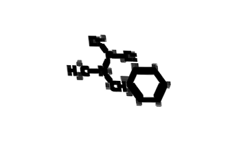 CCP(CC)N(C)C.c1ccccc1